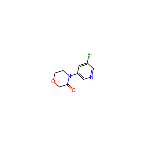 O=C1COCCN1c1cncc(Br)c1